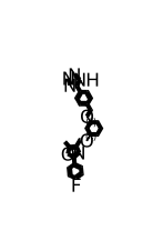 Cc1oc(-c2ccc(F)cc2)nc1CO[C@@H]1CCC[C@H](OCc2ccc(-c3nnn[nH]3)cc2)C1